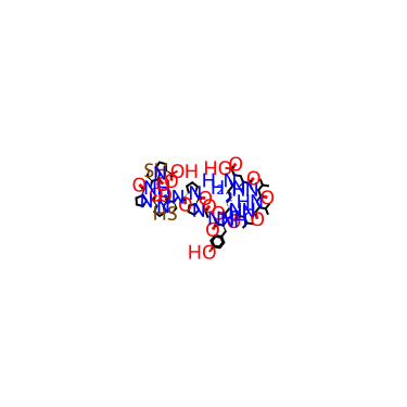 CC(C)[C@H](NC(=O)[C@@H](NC(=O)[C@@H](NC(=O)[C@@H](N)CCC(=O)O)C(C)C)C(C)C)C(=O)N[C@@H](CCCCN)C(=O)N[C@@H](Cc1ccc(O)cc1)C(=O)NCC(=O)N1CCC[C@H]1C(=O)N1CCC[C@H]1C(=O)N[C@@H](CS)C(=O)N1CCC[C@H]1C(=O)N1CCC[C@H]1C(=O)N[C@@H](CS)C(=O)N1CCC[C@H]1C(=O)O